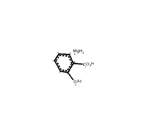 CC(=O)Oc1ccccc1C(=O)O.[MgH2]